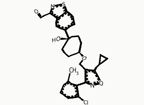 Cc1cccc(Cl)c1-c1noc(C2CC2)c1CO[C@H]1CC[C@](O)(c2ccc3snc(C=O)c3c2)CC1